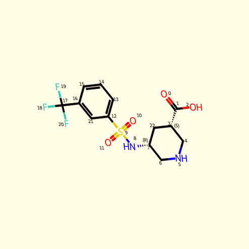 O=C(O)[C@@H]1CNC[C@H](NS(=O)(=O)c2cccc(C(F)(F)F)c2)C1